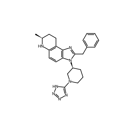 C[C@H]1CCc2c(ccc3c2nc(Cc2ccccc2)n3[C@H]2CCCN(c3nnn[nH]3)C2)N1